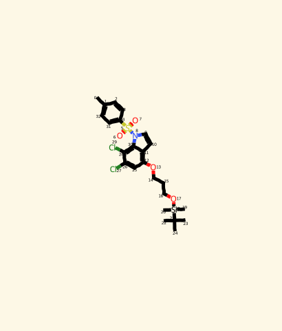 Cc1ccc(S(=O)(=O)n2ccc3c(OCCCO[Si](C)(C)C(C)(C)C)cc(Cl)c(Cl)c32)cc1